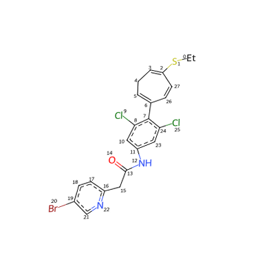 CCSC1=CCC=C(c2c(Cl)cc(NC(=O)Cc3ccc(Br)cn3)cc2Cl)C=C1